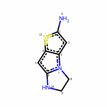 Nc1cc2c(cc3n2CCN3)s1